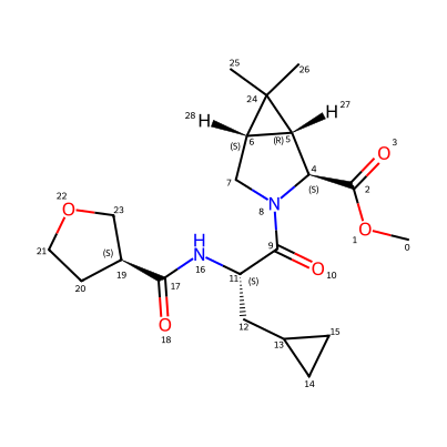 COC(=O)[C@@H]1[C@@H]2[C@H](CN1C(=O)[C@H](CC1CC1)NC(=O)[C@H]1CCOC1)C2(C)C